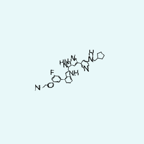 CN(C)CCOc1cc(F)cc(-c2cccc3[nH]c(-c4n[nH]c5ncc(-c6cncc(NCC7CCCC7)c6)cc45)cc23)c1